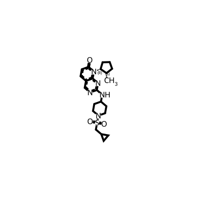 C[C@H]1CCC[C@H]1n1c(=O)ccc2cnc(NC3CCN(S(=O)(=O)CC4CC4)CC3)nc21